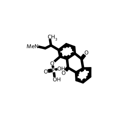 CNCC(C)c1ccc2c(c1OP(=O)(O)O)C(=O)c1ccccc1C2=O